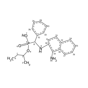 CCC(C)OP(=O)(O)C(Nc1ccc2ccccc2c1N)c1ccccc1